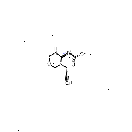 C#CCN1COCN/C1=N/[N+](=O)[O-]